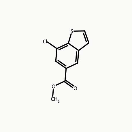 COC(=O)c1cc(Cl)c2sccc2c1